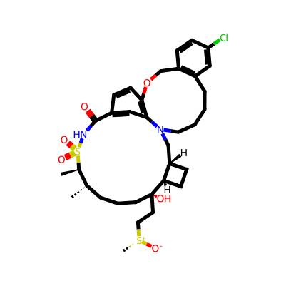 C[C@@H]1[C@@H](C)CCC[C@](O)(CC[S@@+](C)[O-])[C@@H]2CC[C@H]2CN2CCCCc3cc(Cl)ccc3COc3ccc(cc32)C(=O)NS1(=O)=O